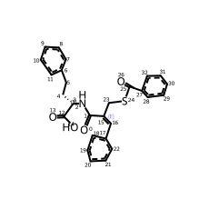 O=C(N[C@@H](CCc1ccccc1)C(=O)O)/C(=C\c1ccccc1)CSC(=O)c1ccccc1